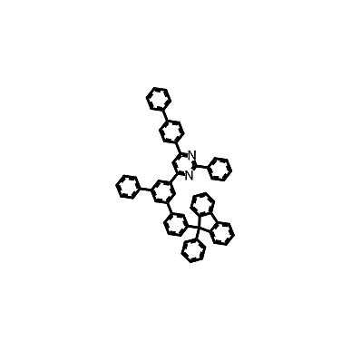 c1ccc(-c2ccc(-c3cc(-c4cc(-c5ccccc5)cc(-c5cccc(C6(c7ccccc7)c7ccccc7-c7ccccc76)c5)c4)nc(-c4ccccc4)n3)cc2)cc1